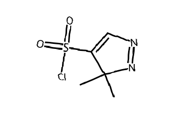 CC1(C)N=NC=C1S(=O)(=O)Cl